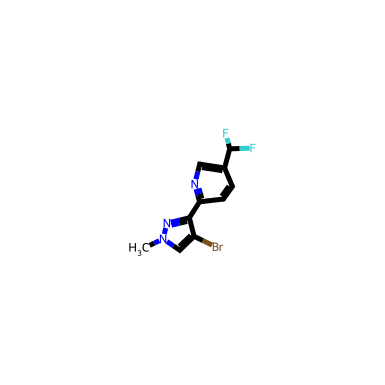 Cn1cc(Br)c(-c2ccc(C(F)F)cn2)n1